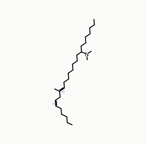 CCCCC/C=C\C/C(C)=C/CCCCCCCC(CCCCCCC)N(C)C